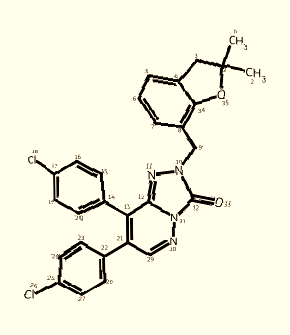 CC1(C)Cc2cccc(Cn3nc4c(-c5ccc(Cl)cc5)c(-c5ccc(Cl)cc5)cnn4c3=O)c2O1